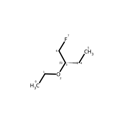 CCO[C@@H](CC)CF